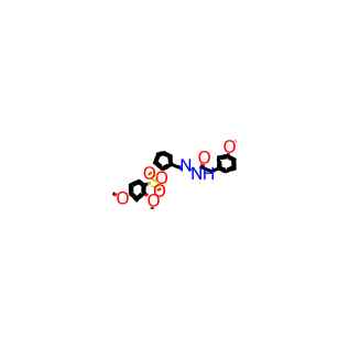 COc1cccc(CC(=O)N/N=C/c2ccccc2OS(=O)(=O)c2ccc(OC)cc2OC)c1